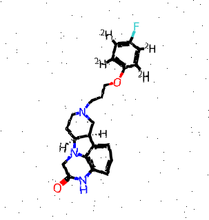 [2H]c1c([2H])c(OCCCN2CC[C@H]3[C@@H](C2)c2cccc4c2N3CC(=O)N4)c([2H])c([2H])c1F